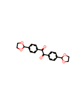 O=C(C(=O)c1ccc(C2OCCO2)cc1)c1ccc(C2OCCO2)cc1